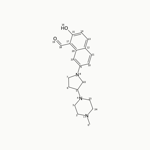 CN1CCN(C2CCN(c3ccc4ccc(O)c(C=O)c4c3)C2)CC1